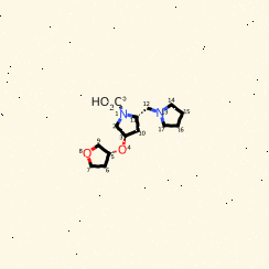 O=C(O)N1C[C@H](O[C@@H]2CCOC2)C[C@H]1CN1CCCC1